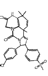 CC1(C)C=CC2(C)C3=NC(c4ccc(S(C)(=O)=O)cc4)C(c4ccc(Cl)cc4)N3C(=O)N3CC(=O)NC1=C32